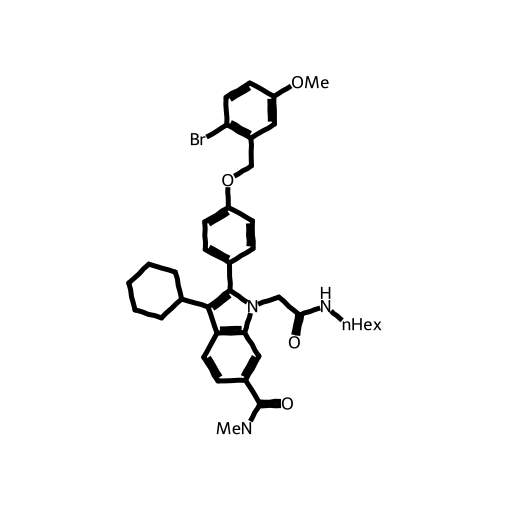 CCCCCCNC(=O)Cn1c(-c2ccc(OCc3cc(OC)ccc3Br)cc2)c(C2CCCCC2)c2ccc(C(=O)NC)cc21